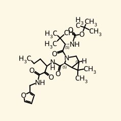 CCCC(NC(=O)[C@@H]1C2[C@H](CN1C(=O)[C@@H](NC(=O)OC(C)(C)C)C(C)(C)C)C2(C)C)C(=O)C(=O)NCc1ccco1